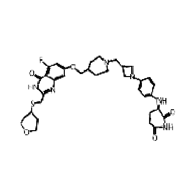 O=C1CCC(Nc2ccc(N3CC(CN4CCC(COc5cc(F)c6c(=O)[nH]c(CSC7CCOCC7)nc6c5)CC4)C3)cc2)C(=O)N1